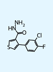 NNC(=O)c1cscc1-c1ccc(F)c(Cl)c1